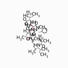 CCC(C)[C@H](NC(=O)CN(C)C(=O)[C@@H](Cc1ccccc1)N(C)C(=O)[C@@H](C)NC(=O)[C@@H](CC(C)C)NC(=O)/C(C)=C/CC[C@H](C)[C@H](NC(=O)C(C)N)C(C)CC)C(=O)O